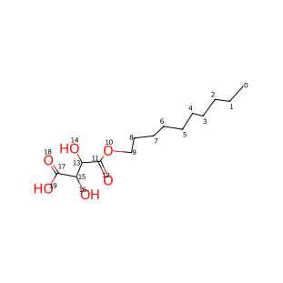 CCCCCCCCCCOC(=O)C(O)C(O)C(=O)O